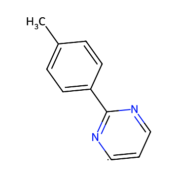 Cc1ccc(-c2n[c]ccn2)cc1